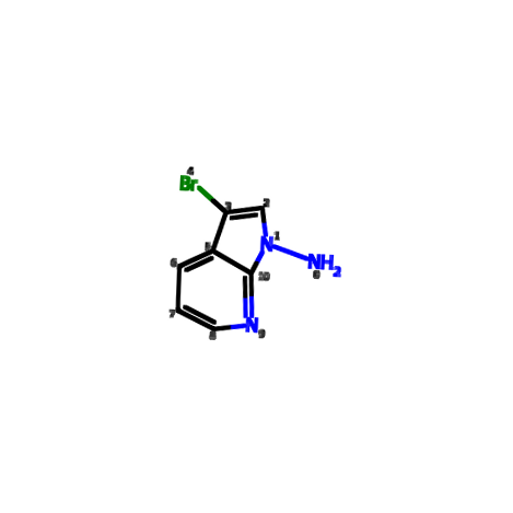 Nn1cc(Br)c2cccnc21